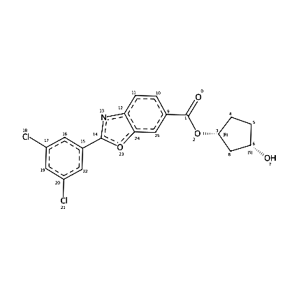 O=C(O[C@@H]1CC[C@H](O)C1)c1ccc2nc(-c3cc(Cl)cc(Cl)c3)oc2c1